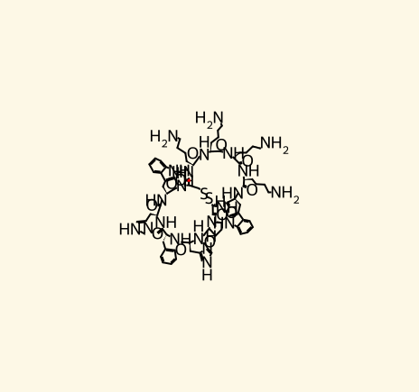 NCCCC[C@@H]1NC(=O)[C@H](CCCCN)NC(=O)[C@@H]2CSS[C@H](NC(=O)[C@H](Cc3c[nH]c4ccccc34)NC(=O)[C@H](CCCCN)NC(=O)[C@H](CCCCN)NC1=O)C(=O)N1CCC[C@H]1C(=O)N[C@@H](Cc1c[nH]cn1)C(=O)N[C@H](Cc1ccccc1)C(=O)N[C@@H](Cc1c[nH]cn1)C(=O)N[C@@H](Cc1c[nH]c3ccccc13)C(=O)N2